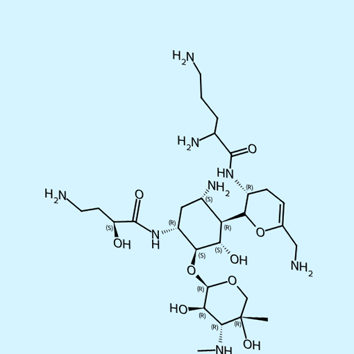 CN[C@@H]1[C@@H](O)[C@@H](O[C@@H]2[C@@H](O)[C@H](C3OC(CN)=CC[C@H]3NC(=O)C(N)CCCN)[C@@H](N)C[C@H]2NC(=O)[C@@H](O)CCN)OC[C@]1(C)O